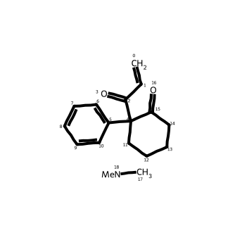 C=CC(=O)C1(c2ccccc2)CCCCC1=O.CNC